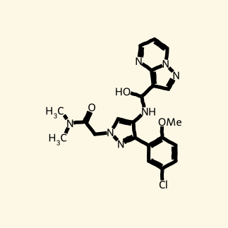 COc1ccc(Cl)cc1-c1nn(CC(=O)N(C)C)cc1NC(O)c1cnn2cccnc12